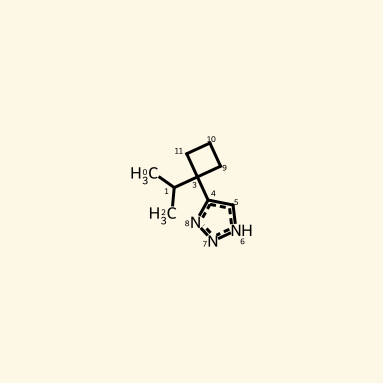 CC(C)C1(c2c[nH]nn2)CCC1